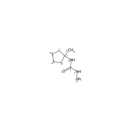 CCCNC(=O)NC1(C)CSSC1